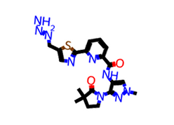 Cn1cc(NC(=O)c2cccc(-c3ncc(CN=NN)s3)n2)c(N2CCC(C)(C)C2=O)n1